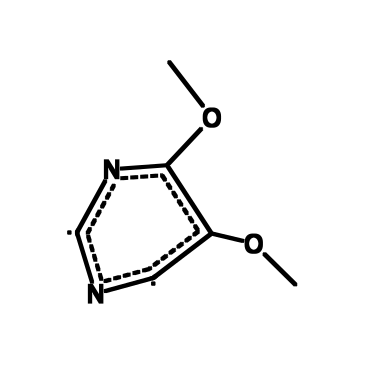 COc1[c]n[c]nc1OC